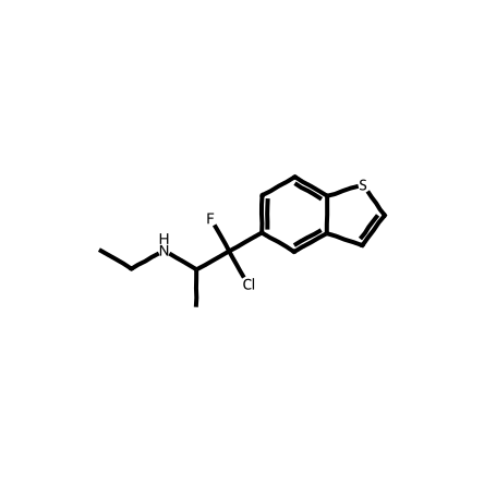 CCNC(C)C(F)(Cl)c1ccc2sccc2c1